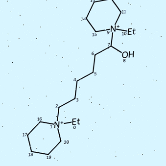 CC[N+]1(CCCCCC(O)[N+]2(CC)CCCCC2)CCCCC1